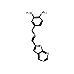 COc1ccc(CN=Cc2cc3cncnc3s2)cc1OC